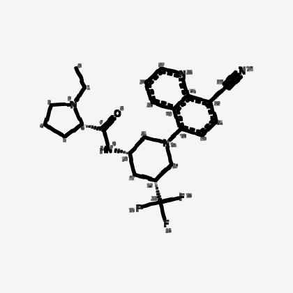 CCN1CCC[C@H]1C(=O)N[C@H]1C[C@@H](C(F)(F)F)CN(c2ccc(C#N)c3ncccc23)C1